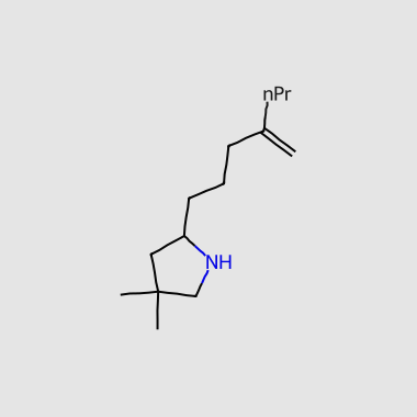 C=C(CCC)CCCC1CC(C)(C)CN1